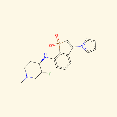 CN1CC[C@@H](Nc2cccc3c2S(=O)(=O)C=C3n2cccc2)[C@H](F)C1